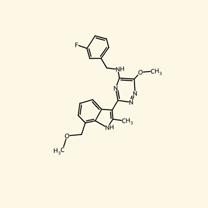 COCc1cccc2c(-c3nnc(OC)c(NCc4cccc(F)c4)n3)c(C)[nH]c12